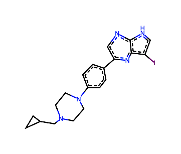 Ic1c[nH]c2ncc(-c3ccc(N4CCN(CC5CC5)CC4)cc3)nc12